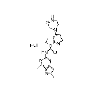 Cc1cn2cc(NC(=O)N3CCc4c(N5CCN[C@@H](C)C5)ccnc43)nc(C)c2n1.Cl